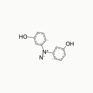 [N-]=[N+](c1[c]ccc(O)c1)c1[c]ccc(O)c1